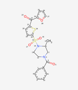 CC1CN(C(=O)c2ccccc2)CCN1S(=O)(=O)c1ccc(C(=O)c2ccco2)s1